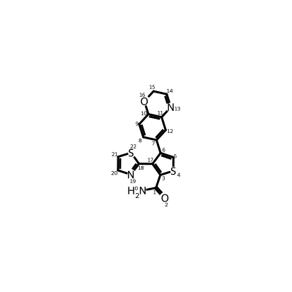 NC(=O)c1scc(-c2ccc3c(c2)N=CCO3)c1-c1nccs1